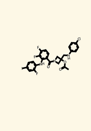 CC(=O)OC1(CNc2ccc(Cl)cc2)CN(C(=O)c2ccc(F)c(F)c2Nc2ccc(I)cc2F)C1